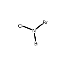 ClN(Br)Br